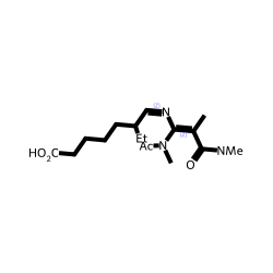 CCC(/C=N\C(=C(/C)C(=O)NC)N(C)C(C)=O)CCCCC(=O)O